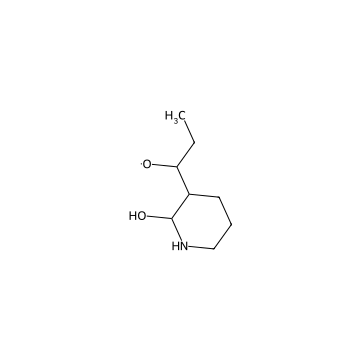 CCC([O])C1CCCNC1O